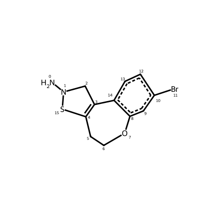 NN1CC2=C(CCOc3cc(Br)ccc32)S1